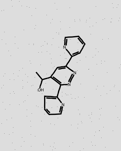 CC(O)c1cc(-c2ccccn2)nnc1-c1ccccn1